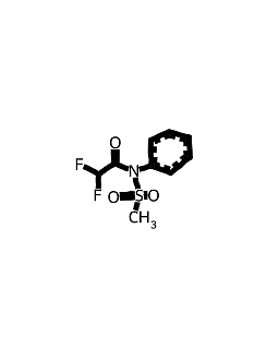 CS(=O)(=O)N(C(=O)C(F)F)c1ccccc1